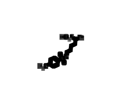 CCC(CCCC=NS(=O)(=O)c1ccc(C)cc1)S(=O)(=O)O